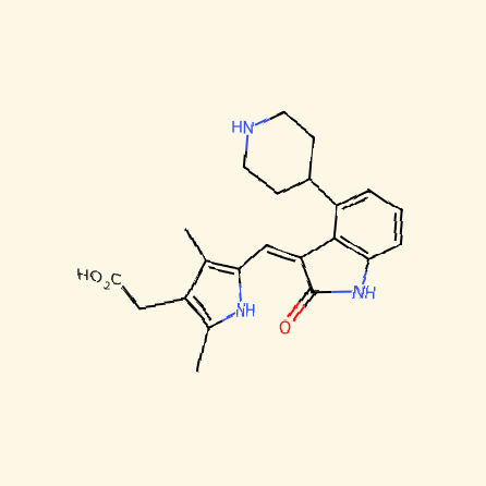 Cc1[nH]c(C=C2C(=O)Nc3cccc(C4CCNCC4)c32)c(C)c1CC(=O)O